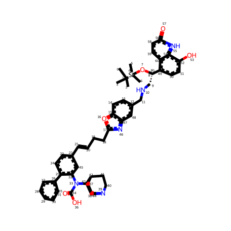 CC(C)(C)[Si](C)(C)O[C@@H](CNCc1ccc2oc(CCC=Cc3ccc(-c4ccccc4)c(N(C(=O)O)C4CN5CCC4CC5)c3)nc2c1)c1ccc(O)c2[nH]c(=O)ccc12